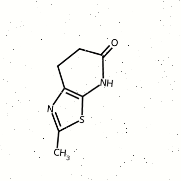 Cc1nc2c(s1)NC(=O)CC2